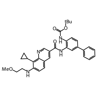 COCCNc1ccc2cc(C(=O)Nc3cc(-c4ccccc4)ccc3NC(=O)OC(C)(C)C)cnc2c1C1CC1